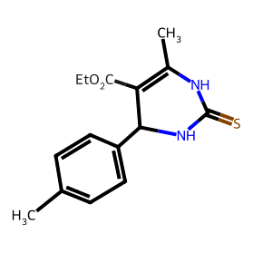 CCOC(=O)C1=C(C)NC(=S)NC1c1ccc(C)cc1